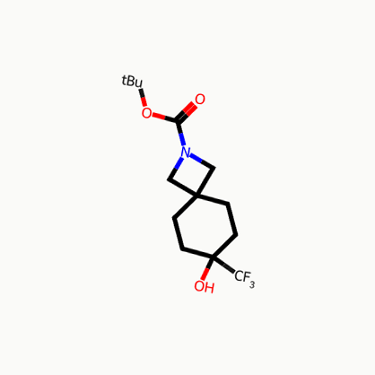 CC(C)(C)OC(=O)N1CC2(CCC(O)(C(F)(F)F)CC2)C1